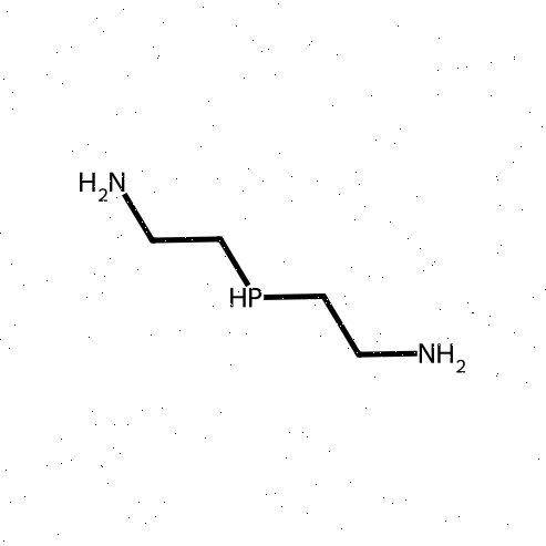 NCCPCCN